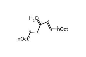 C=C(C=CCCCCCCCC)CCCCCCCCCC